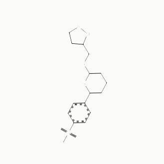 CS(=O)(=O)c1ccc(C2CCCC(NCC3CCNN3)N2)cc1